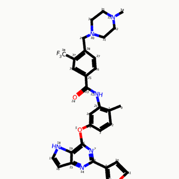 Cc1ccc(Oc2nc(-c3ccoc3)nc3cc[nH]c23)cc1NC(=O)c1ccc(CN2CCN(C)CC2)c(C(F)(F)F)c1